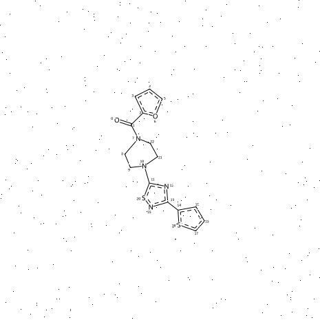 O=C(c1ccco1)N1CCN(c2nc(-c3cccs3)ns2)CC1